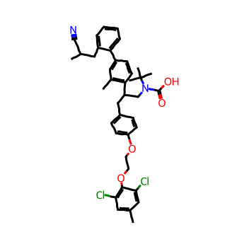 Cc1cc(Cl)c(OCCOc2ccc(CC(CN(C(=O)O)C(C)(C)C)c3ccc(-c4ccccc4CC(C)C#N)cc3C)cc2)c(Cl)c1